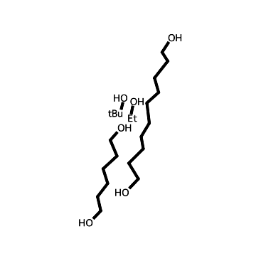 CC(C)(C)O.CCO.OCCCCCCCCCCO.OCCCCCCO